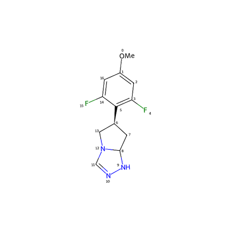 COc1cc(F)c([C@H]2CC3NN=CN3C2)c(F)c1